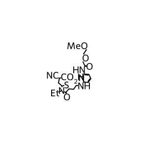 CCN1C(=O)C(CCNc2cccc(NC(=O)COCCOC)n2)SC1CC(C#N)C(=O)O